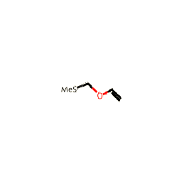 C=COCSC